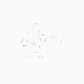 CCNc1cc(C(=O)N[C@@H](Cc2ccccc2Cl)[C@@H](O)CNC2CCCCC2)cc(N2CCCCS2(O)O)c1